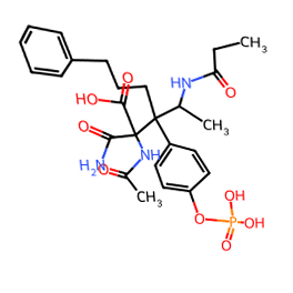 CCC(=O)NC(C)C(CCCc1ccccc1)(c1ccc(OP(=O)(O)O)cc1)C(NC(C)=O)(C(N)=O)C(=O)O